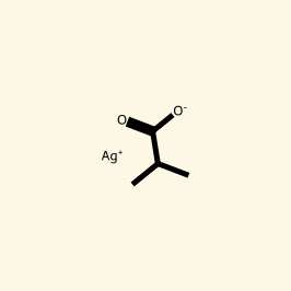 CC(C)C(=O)[O-].[Ag+]